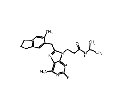 Cc1cc2c(cc1Cc1nc3c(N)nc(F)nc3n1CCC(=O)NC(C)C)CCC2